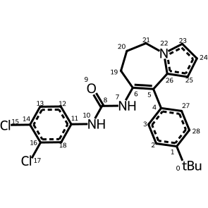 CC(C)(C)c1ccc(C2=C(NC(=O)Nc3ccc(Cl)c(Cl)c3)CCCn3cccc32)cc1